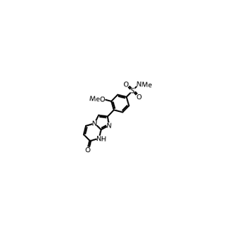 CNS(=O)(=O)c1ccc(-c2cn3ccc(=O)[nH]c3n2)c(OC)c1